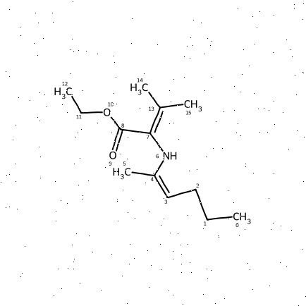 CCC/C=C(/C)NC(C(=O)OCC)=C(C)C